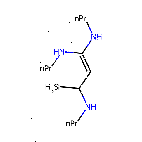 CCCNC(=CC([SiH3])NCCC)NCCC